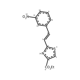 CCOC(=O)c1csc(C=Cc2cccc([N+](=O)[O-])c2)n1